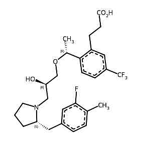 Cc1ccc(C[C@@H]2CCCN2C[C@@H](O)CO[C@H](C)c2ccc(C(F)(F)F)cc2CCC(=O)O)cc1F